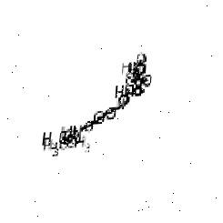 CC(C)(C)OC(=O)NCCOCCOCCOCCN1CCC(Nc2cccc3c2C(=O)N(C2CCC(=O)NC2=O)C3=O)CC1